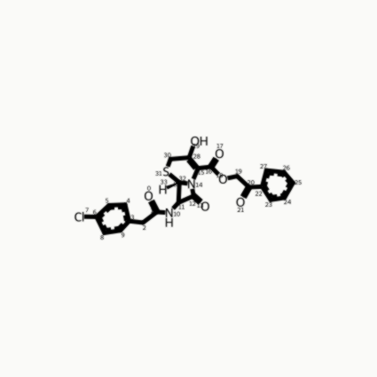 O=C(Cc1ccc(Cl)cc1)NC1C(=O)N2C(C(=O)OCC(=O)c3ccccc3)=C(O)CS[C@@H]12